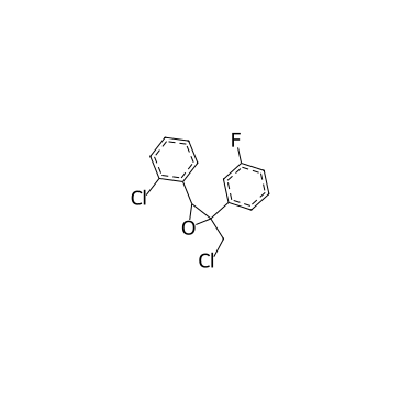 Fc1cccc(C2(CCl)OC2c2ccccc2Cl)c1